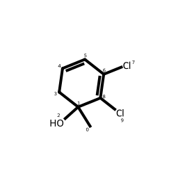 CC1(O)CC=CC(Cl)=C1Cl